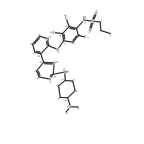 CCCS(=O)(=O)Nc1c(F)cc(Oc2ncccc2-c2ccnc(NC3CCC(N(C)C)CC3)n2)c(F)c1F